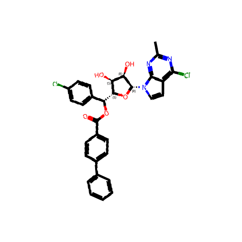 Cc1nc(Cl)c2ccn([C@@H]3O[C@H](C(OC(=O)c4ccc(-c5ccccc5)cc4)c4ccc(Cl)cc4)[C@@H](O)[C@H]3O)c2n1